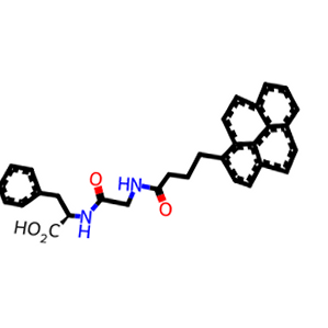 O=C(CCCc1ccc2ccc3cccc4ccc1c2c34)NCC(=O)N[C@H](Cc1ccccc1)C(=O)O